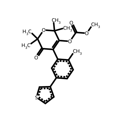 COC(=O)OC1=C(c2cc(-c3ccsc3)ccc2C)C(=O)C(C)(C)OC1(C)C